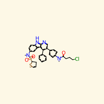 CN(C(=O)CCCCl)c1ccc(-c2cnc3[nH]c4ccc(N(C)S(=O)(=O)C5CC=CS5)cc4c3c2-c2ccccc2)cc1